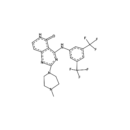 CN1CCN(c2nc(Nc3cc(C(F)(F)F)cc(C(F)(F)F)c3)c3c(=O)[nH]ccc3n2)CC1